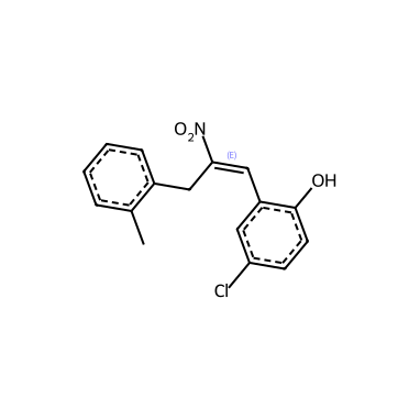 Cc1ccccc1C/C(=C\c1cc(Cl)ccc1O)[N+](=O)[O-]